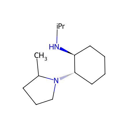 CC(C)N[C@H]1CCCC[C@@H]1N1CCCC1C